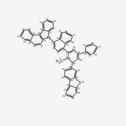 CN1C(c2ccc(-n3c4ccccc4c4c5ccccc5ccc43)c3ccccc23)=NC(c2ccccc2)=NC1c1ccc2c(c1)sc1ccccc12